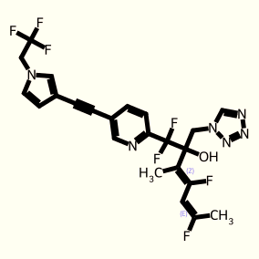 C/C(=C(F)\C=C(/C)F)C(O)(Cn1cnnn1)C(F)(F)c1ccc(C#Cc2ccn(CC(F)(F)F)c2)cn1